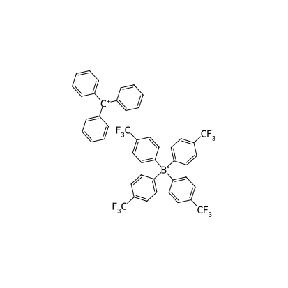 FC(F)(F)c1ccc([B-](c2ccc(C(F)(F)F)cc2)(c2ccc(C(F)(F)F)cc2)c2ccc(C(F)(F)F)cc2)cc1.c1ccc([C+](c2ccccc2)c2ccccc2)cc1